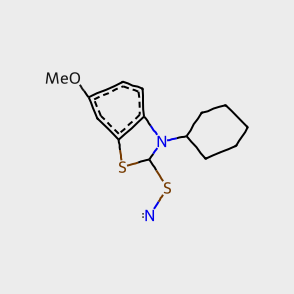 COc1ccc2c(c1)SC(S[N])N2C1CCCCC1